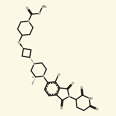 C[C@@H]1CN([C@H]2C[C@H](OC3CCN(C(=O)OC(C)(C)C)CC3)C2)CCN1c1ccc2c(c1Cl)C(=O)N(C1CCC(=O)NC1=O)C2=O